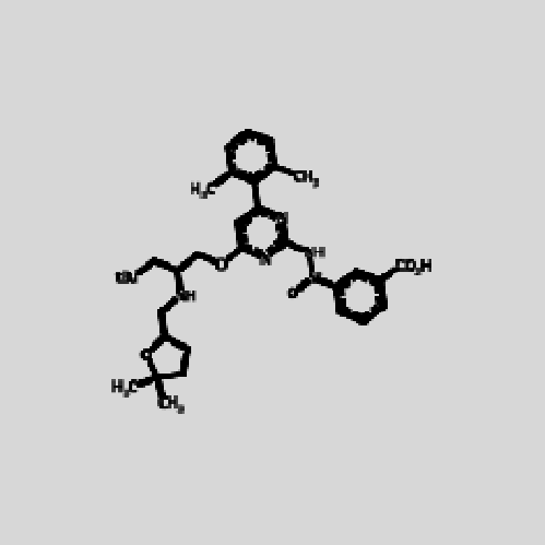 Cc1cccc(C)c1-c1cc(OCC(CC(C)(C)C)NCC2CCC(C)(C)O2)nc(N[S+]([O-])c2cccc(C(=O)O)c2)n1